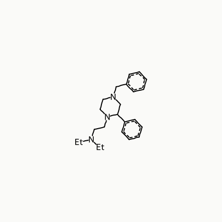 CCN(CC)CCN1CCN(Cc2ccccc2)CC1c1ccccc1